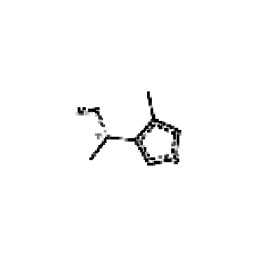 CS[C@@H](C)c1cscc1C